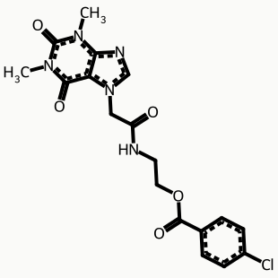 Cn1c(=O)c2c(ncn2CC(=O)NCCOC(=O)c2ccc(Cl)cc2)n(C)c1=O